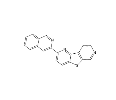 c1ccc2cc(-c3ccc4sc5cnccc5c4n3)ncc2c1